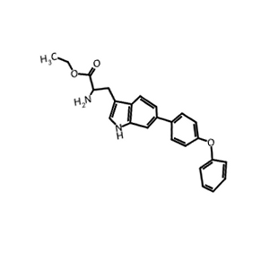 CCOC(=O)C(N)Cc1c[nH]c2cc(-c3ccc(Oc4ccccc4)cc3)ccc12